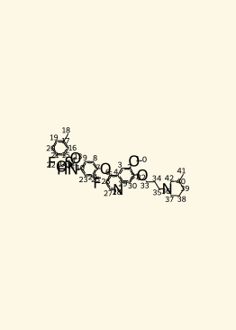 COc1cc2c(Oc3ccc(NS(=O)(=O)c4cc(C)ccc4F)cc3F)ccnc2cc1OCCCN1CCCC(C)C1